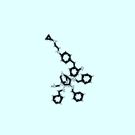 OC[C@]12CO[C@](c3ccc(Cl)c(Cc4ccc(OCCOC5CC5)cc4)c3)(O1)[C@H](OCc1ccccc1)[C@@H](OCc1ccccc1)[C@@H]2OCc1ccccc1